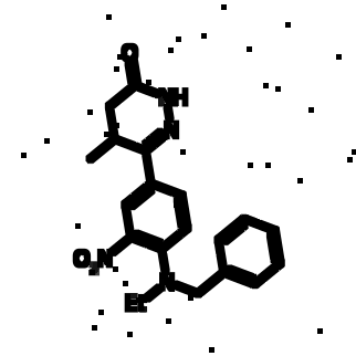 CCN(Cc1ccccc1)c1ccc(C2=NNC(=O)CC2C)cc1[N+](=O)[O-]